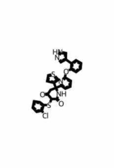 O=C1CC(c2ccsc2)(c2cccc(Oc3ccccc3-c3cn[nH]c3)n2)NC(=O)C1Sc1ccccc1Cl